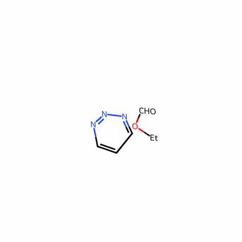 CCOC=O.c1cnnnc1